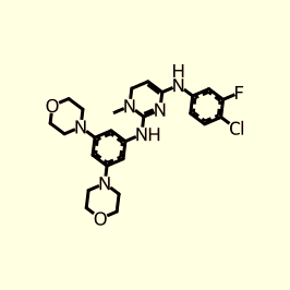 CN1CC=C(Nc2ccc(Cl)c(F)c2)N=C1Nc1cc(N2CCOCC2)cc(N2CCOCC2)c1